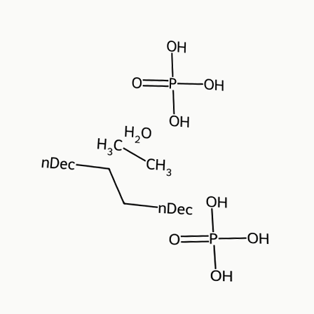 CC.CCCCCCCCCCCCCCCCCCCCCC.O.O=P(O)(O)O.O=P(O)(O)O